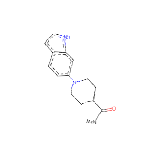 CNC(=O)C1CCN(c2ccc3cc[nH]c3c2)CC1